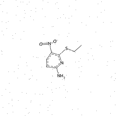 CCSc1nc(N)ccc1[N+](=O)[O-]